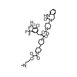 CN(C)CCCOC(=O)C(=O)N1CCC(C2CCN(C(=O)[C@@H](Cc3cc(Cl)c(N)c(C(F)(F)F)c3)OC(=O)N3CCC(N4CCc5ccccc5NC4=O)CC3)CC2)CC1